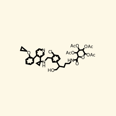 CC(=O)OC1OC(C(=O)NCCCC(CO)c2ccc(Cl)c(CNC3(c4cnccc4-c4ccccc4OC4CC4)CC3)c2)C(OC(C)=O)C(OC(C)=O)C1OC(C)=O